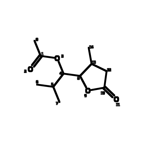 CC(=O)OC(C(C)C)C1OC(=O)CC1C